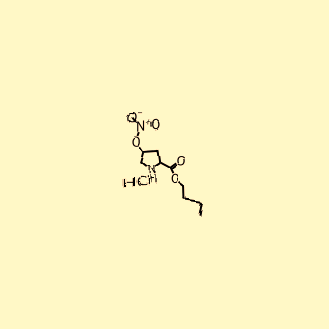 CCCCOC(=O)C1CC(O[N+](=O)[O-])CN1.Cl